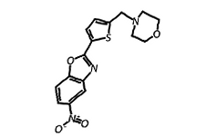 O=[N+]([O-])c1ccc2oc(-c3ccc(CN4CCOCC4)s3)nc2c1